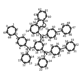 c1ccc(-c2ccc(N(c3ccccc3)c3cc(N(c4ccccc4)c4ccc(-c5ccccc5)cc4)cc(N(c4ccc(-c5ccccc5)cc4)c4cccc5c4oc4ccccc45)c3)cc2)cc1